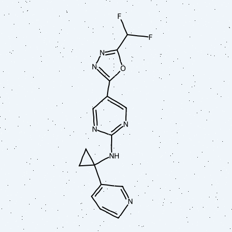 FC(F)c1nnc(-c2cnc(NC3(c4cccnc4)CC3)nc2)o1